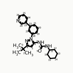 CC(C)(C)c1cc(NC(=O)NC2CCCCC2)n(-c2cccc(-c3cccnc3)c2)n1